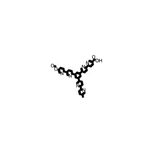 Cc1ccc(-c2ccc(-c3cc(-c4ccc(-c5ccc(C(=O)O)cn5)nc4)cc(-c4ccc(-c5ccc(OC=O)cn5)cn4)c3)cn2)nc1